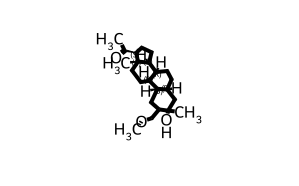 COCC1C[C@H]2[C@H](CC[C@@H]3[C@@H]2CC[C@]2(C)[C@@H](C(C)=O)CC[C@@H]32)CC1(C)O